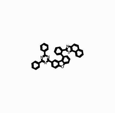 c1ccc(-c2nc(-c3ccccc3)nc(-c3ccc4oc5cccc(-c6ccccc6-c6nc7ccc8ccccc8c7s6)c5c4c3)n2)cc1